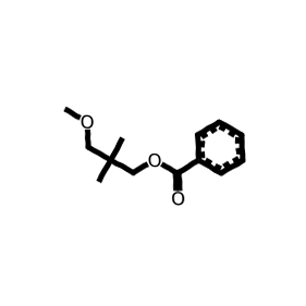 COCC(C)(C)COC(=O)c1ccccc1